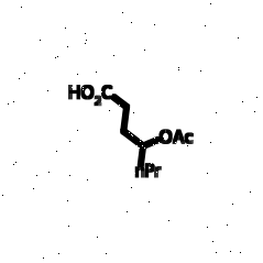 CCCC(CCC(=O)O)OC(C)=O